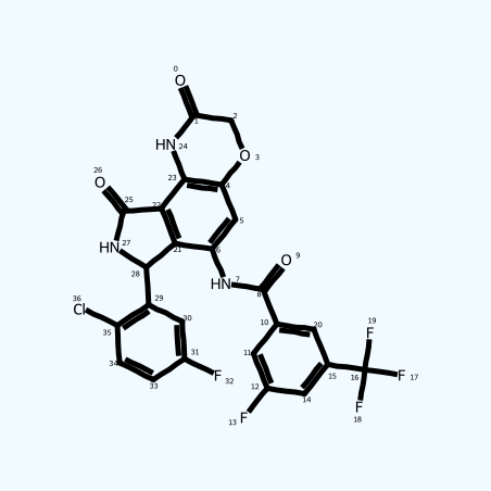 O=C1COc2cc(NC(=O)c3cc(F)cc(C(F)(F)F)c3)c3c(c2N1)C(=O)NC3c1cc(F)ccc1Cl